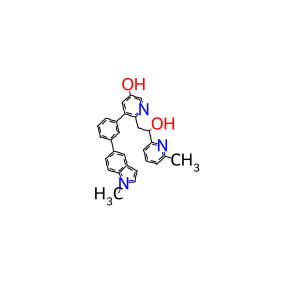 Cc1cccc(C(O)Cc2ncc(O)cc2-c2cccc(-c3ccc4c(ccn4C)c3)c2)n1